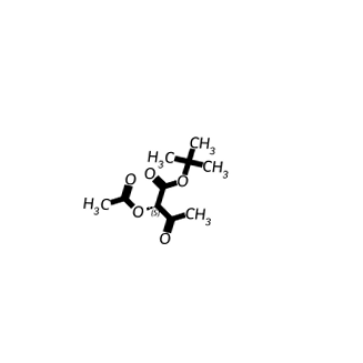 CC(=O)O[C@@H](C(C)=O)C(=O)OC(C)(C)C